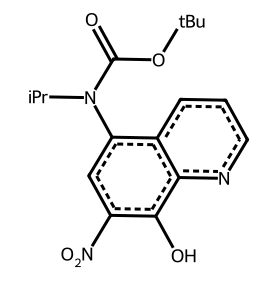 CC(C)N(C(=O)OC(C)(C)C)c1cc([N+](=O)[O-])c(O)c2ncccc12